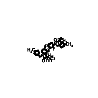 CCCC(C)(C)C(=O)N(Cc1ccc(C)cc1)c1ccc(F)[c]([Ti][c]2c(F)ccc(N(Cc3ccc(C)cc3)C(=O)C(C)(C)CCC)c2F)c1F